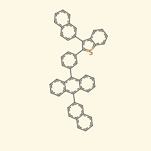 c1cc(-c2sc3ccccc3c2-c2ccc3ccccc3c2)cc(-c2c3ccccc3c(-c3ccc4ccccc4c3)c3ccccc23)c1